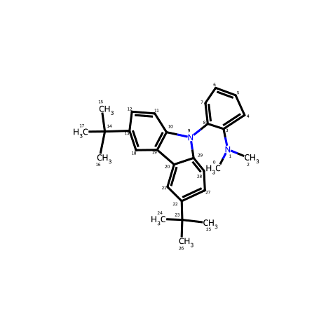 CN(C)c1ccccc1-n1c2ccc(C(C)(C)C)cc2c2cc(C(C)(C)C)ccc21